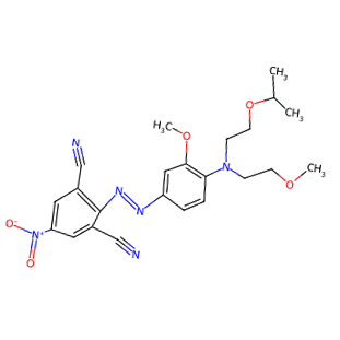 COCCN(CCOC(C)C)c1ccc(N=Nc2c(C#N)cc([N+](=O)[O-])cc2C#N)cc1OC